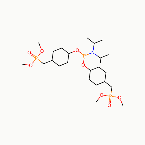 COP(=O)(CC1CCC(OP(OC2CCC(CP(=O)(OC)OC)CC2)N(C(C)C)C(C)C)CC1)OC